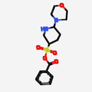 O=C(OS(=O)(=O)C1CCC(N2CCOCC2)NC1)c1ccccc1